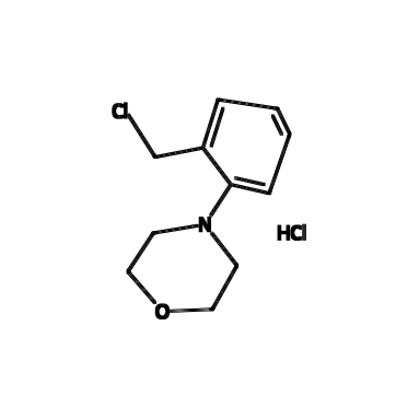 Cl.ClCc1ccccc1N1CCOCC1